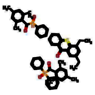 CCc1cc(CC)c2sc3ccccc3c(=O)c2c1.Cc1cc(C)c(C(=O)P(=O)(c2ccccc2)c2ccccc2)c(C)c1.Cc1cc(C)c(C(=O)[PH](=O)c2ccccc2)c(C)c1